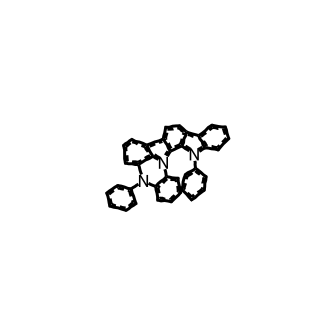 c1ccc(N2c3ccccc3-n3c4c2cccc4c2ccc4c5ccccc5n(-c5ccccc5)c4c23)cc1